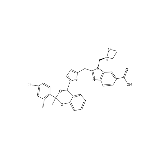 CC1(c2ccc(Cl)cc2F)Oc2ccccc2C(c2ccc(Cc3nc4ccc(C(=O)O)cc4n3C[C@@H]3CCO3)s2)O1